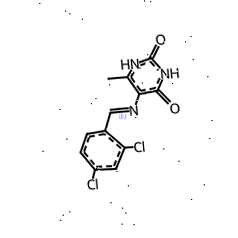 Cc1[nH]c(=O)[nH]c(=O)c1/N=C/c1ccc(Cl)cc1Cl